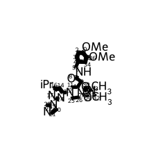 COc1ccc(CNC(=O)CC2CN(c3cc(C(C)C)nc(-n4ccnc4)n3)CCN2S(=O)(=O)N(C)C)cc1OC